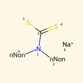 CCCCCCCCCN(CCCCCCCCC)C(=S)[S-].[Na+]